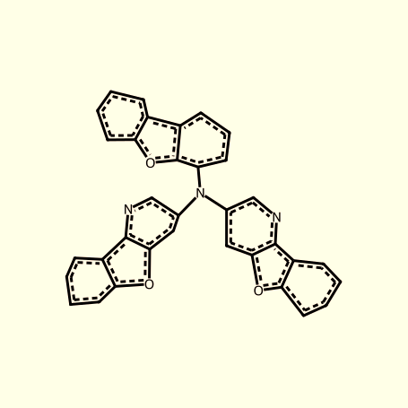 c1ccc2c(c1)oc1c(N(c3cnc4c(c3)oc3ccccc34)c3cnc4c(c3)oc3ccccc34)cccc12